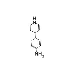 NC1=CCC(C2C=CNCC2)C=C1